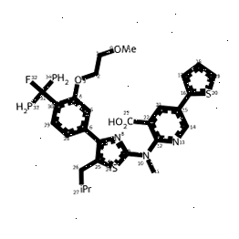 COCCOc1cc(-c2nc(N(C)c3ncc(-c4cccs4)cc3C(=O)O)sc2CC(C)C)ccc1C(F)(P)P